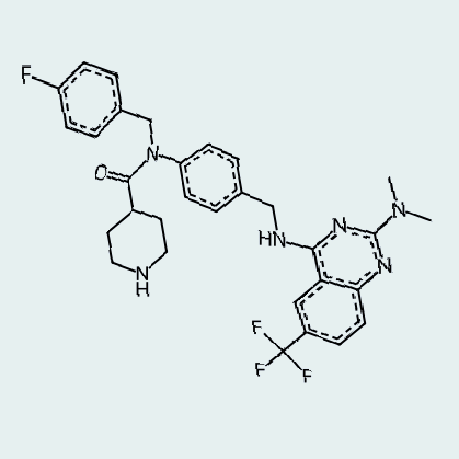 CN(C)c1nc(NCc2ccc(N(Cc3ccc(F)cc3)C(=O)C3CCNCC3)cc2)c2cc(C(F)(F)F)ccc2n1